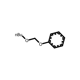 CCCCOCOc1ccccc1